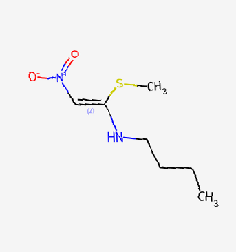 CCCCN/C(=C/[N+](=O)[O-])SC